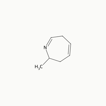 CC1CC=CCC=N1